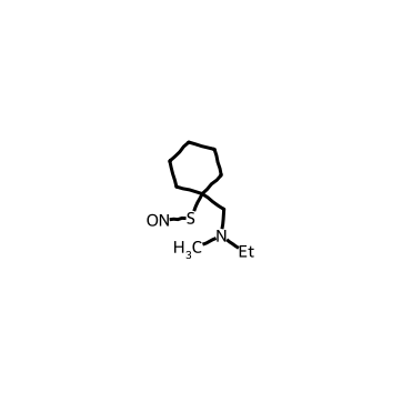 [CH2]CN(C)CC1(SN=O)CCCCC1